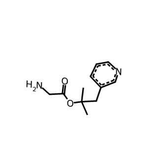 CC(C)(Cc1cccnc1)OC(=O)CN